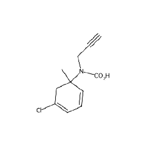 C#CCN(C(=O)O)C1(C)C=CC=C(Cl)C1